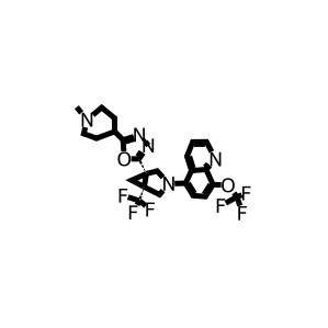 CN1CCC(c2nnc([C@]34CN(c5ccc(OC(F)(F)F)c6ncccc56)C[C@@]3(C(F)(F)F)C4)o2)CC1